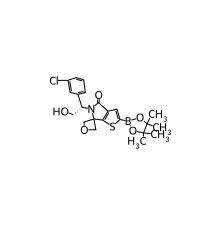 CC1(C)OB(c2cc3c(s2)C2(COC2)N([C@H](CO)c2cccc(Cl)c2)C3=O)OC1(C)C